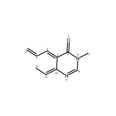 C=C/C=c1/c(=O)n(C)cn/c1=C/C